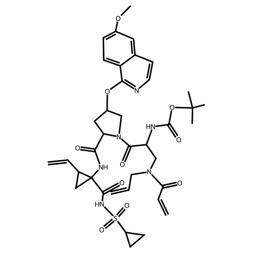 C=CCN(CC(NC(=O)OC(C)(C)C)C(=O)N1CC(Oc2nccc3cc(OC)ccc23)CC1C(=O)NC1(C(=O)NS(=O)(=O)C2CC2)CC1C=C)C(=O)C=C